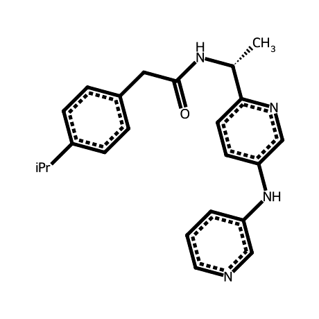 CC(C)c1ccc(CC(=O)N[C@H](C)c2ccc(Nc3cccnc3)cn2)cc1